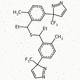 CCC(SC(CC)c1cc(C2(C(F)(F)F)C=CN=N2)ccc1C)c1cc(C2(C(F)(F)F)C=CN=N2)ccc1C